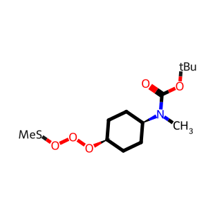 CSOOO[C@H]1CC[C@@H](N(C)C(=O)OC(C)(C)C)CC1